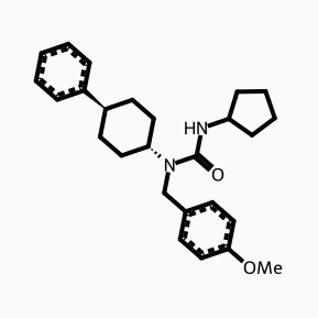 COc1ccc(CN(C(=O)NC2CCCC2)[C@H]2CC[C@H](c3ccccc3)CC2)cc1